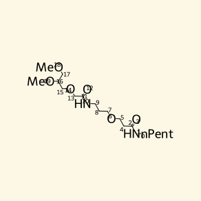 CCCCCNC(=O)CCOCCCNC(=O)COCC(COC)OC